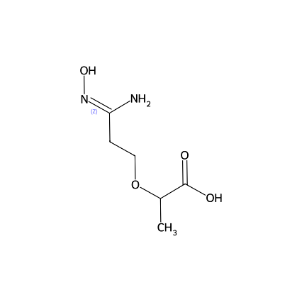 CC(OCC/C(N)=N/O)C(=O)O